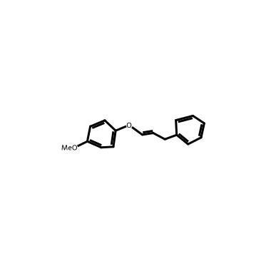 COc1ccc(OC=CCc2ccccc2)cc1